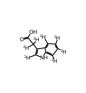 [2H]c1[nH]c2c([2H])c([2H])c([2H])c([2H])c2c1C([2H])([2H])C(=O)O